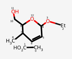 CC(=O)O.CCOC1C=CC(C)C(CO)O1